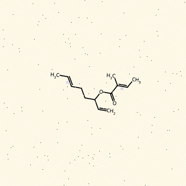 C=CC(CC/C=C/C)OC(=O)/C(C)=C/C